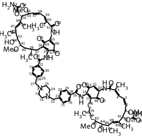 CO[C@H]1/C=C\C=C(/C)C(=O)NC2=CC(=O)C(NC(=O)c3ccc(CN4CCN(Cc5ccc(C(=O)NC6=C7C[C@@H](C)C[C@H](OC)[C@H](O)[C@@H](C)/C=C(\C)[C@H](OC(N)=O)[C@@H](OC)/C=C\C=C(/C)C(=O)NC(=CC6=O)C7=O)cc5)CC4)cc3)=C(C[C@@H](C)C[C@H](OC)[C@H](O)[C@@H](C)/C=C(\C)[C@@H]1OC(N)=O)C2=O